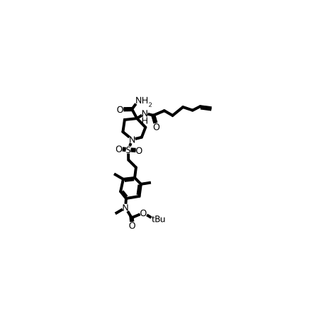 C=CCCCCC(=O)NC1(C(N)=O)CCN(S(=O)(=O)CCc2c(C)cc(N(C)C(=O)OC(C)(C)C)cc2C)CC1